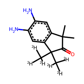 [2H]C([2H])([2H])C1(C([2H])([2H])[2H])C(=O)C(C)(C)c2cc(N)c(N)cc21